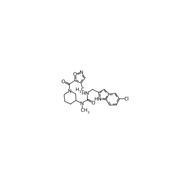 Cc1cnoc1C(=O)N1CCCC(N(C)C(=O)NCc2cc3cc(Cl)ccc3[nH]2)C1